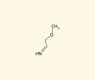 COC[C]=N